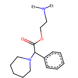 CCN(CC)CCOC(=O)C(c1ccccc1)N1CCCCC1